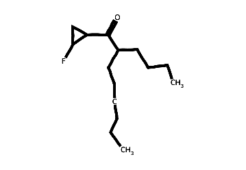 CCCCCCC(CCCC)C(=O)C1CC1F